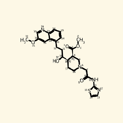 COC(=O)[C@H]1CN(CC(=O)Nc2nccs2)CC[C@H]1C(O)CCc1cccc2ncc(OC)cc12